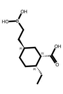 CC[C@@H]1CC[C@@H](CCB(O)O)C[C@@H]1C(=O)O